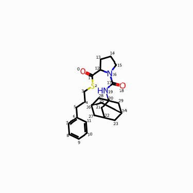 O=C(SCCCc1ccccc1)C1CCCN1C(=O)NC12CC3CC(CC(C3)C1)C2